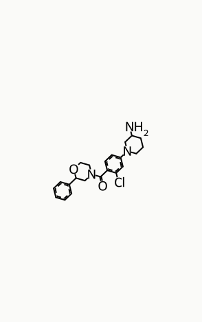 NC1CCCN(c2ccc(C(=O)N3CCOC(c4ccccc4)C3)c(Cl)c2)C1